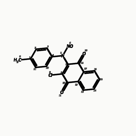 Cc1ccc(N(N=O)C2=C(Cl)C(=O)c3ccccc3C2=O)cc1